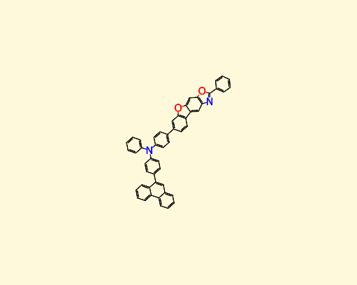 c1ccc(-c2nc3cc4c(cc3o2)oc2cc(-c3ccc(N(c5ccccc5)c5ccc(-c6cc7ccccc7c7ccccc67)cc5)cc3)ccc24)cc1